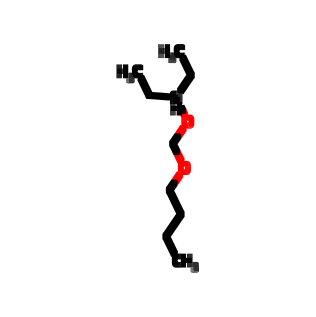 CCCCOCO[SiH](CC)CC